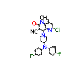 Cn1c(=O)c(C#N)c(N2CCC(N(c3ccc(F)cc3)c3ccc(F)cc3)CC2)c2nc(Cl)ccc21